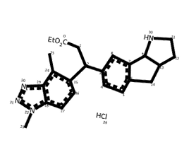 CCOC(=O)CC(c1ccc2c(c1)C1NCCC1C2)c1ccc2c(nnn2C)c1C.Cl